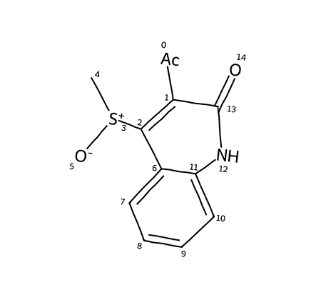 CC(=O)c1c([S+](C)[O-])c2ccccc2[nH]c1=O